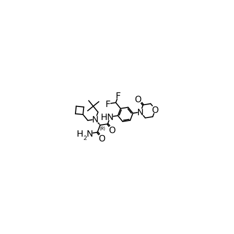 CC(C)(C)CN(CC1CCC1)[C@H](C(N)=O)C(=O)Nc1ccc(N2CCOCC2=O)cc1C(F)F